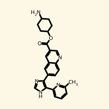 Cc1cccc(-c2[nH]cnc2-c2ccc3ncc(C(=O)OC4CCC(N)CC4)cc3c2)n1